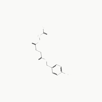 CC(C)COc1ccc(COC(=O)CCC(=O)ONC(N)=O)cc1